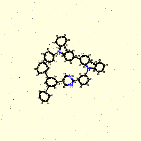 c1ccc(-c2cc(-c3ccccc3)cc(-c3cnc(-c4cccc(-n5c6ccccc6c6ccc(-c7ccc8c(c7)c7ccccc7n8-c7ccccc7)cc65)c4)nc3)c2)cc1